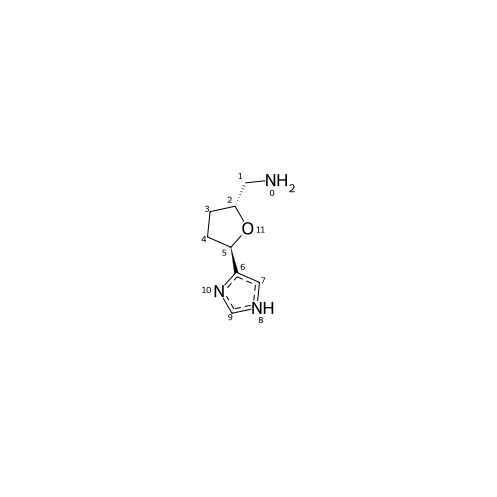 NC[C@H]1CC[C@H](c2c[nH]cn2)O1